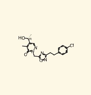 Cc1c([C@@H](C)O)cnn(Cc2nc(CCc3ccc(Cl)cc3)no2)c1=O